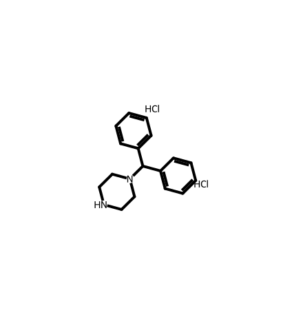 Cl.Cl.c1ccc(C(c2ccccc2)N2CCNCC2)cc1